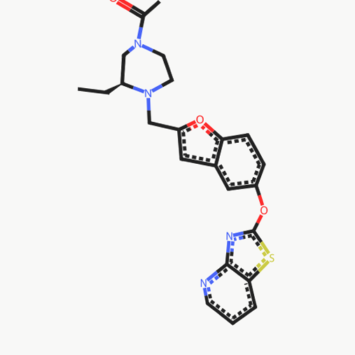 CC[C@H]1CN(C(C)=O)CCN1Cc1cc2cc(Oc3nc4ncccc4s3)ccc2o1